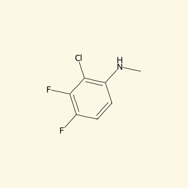 CNc1ccc(F)c(F)c1Cl